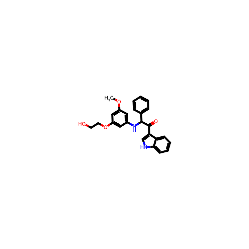 COc1cc(NC(C(=O)c2c[nH]c3ccccc23)c2ccccc2)cc(OCCO)c1